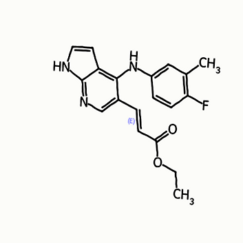 CCOC(=O)/C=C/c1cnc2[nH]ccc2c1Nc1ccc(F)c(C)c1